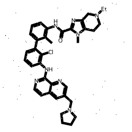 CCN1CCc2c(nc(C(=O)Nc3cccc(-c4cccc(Nc5nccc6cc(CN7CCCC7)cnc56)c4Cl)c3C)n2C)C1